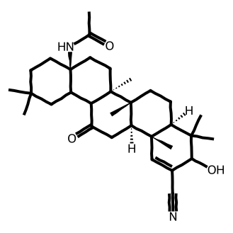 CC(=O)N[C@]12CCC(C)(C)CC1C1C(=O)C[C@@H]3[C@@]4(C)C=C(C#N)C(O)C(C)(C)[C@@H]4CC[C@@]3(C)[C@]1(C)CC2